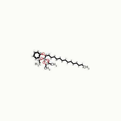 CCCCCCCCCCCCCCC(Oc1ccccc1)[Si](OCC)(OCC)OCC